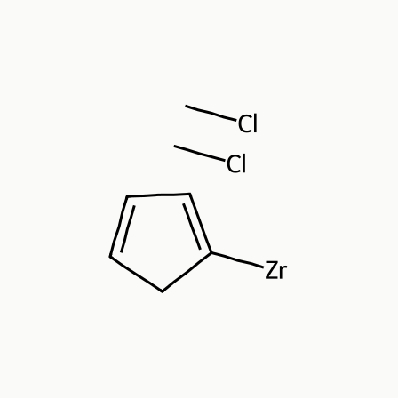 CCl.CCl.[Zr][C]1=CC=CC1